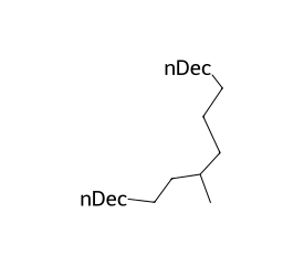 CCCCCCCCCCCCCC(C)CCCCCCCCCCCC